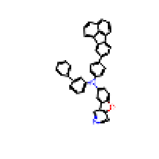 c1ccc(-c2cccc(N(c3ccc(-c4ccc5c(c4)-c4cccc6cccc-5c46)cc3)c3ccc4oc5ccncc5c4c3)c2)cc1